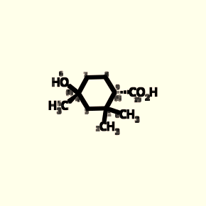 CC1(C)C[C@](C)(O)CC[C@@H]1C(=O)O